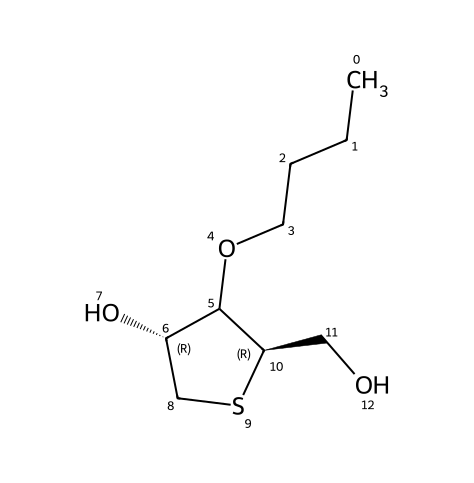 CCCCOC1[C@@H](O)CS[C@@H]1CO